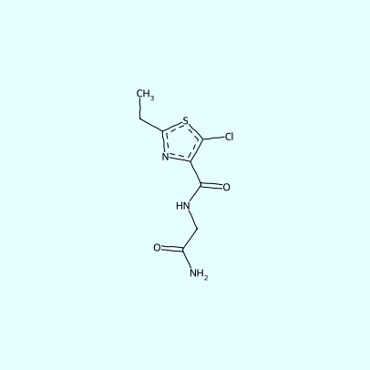 CCc1nc(C(=O)NCC(N)=O)c(Cl)s1